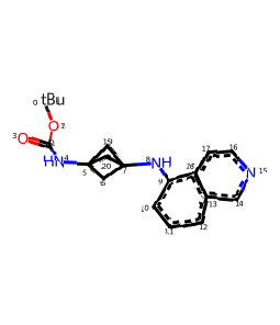 CC(C)(C)OC(=O)NC12CC(Nc3cccc4cnccc34)(C1)C2